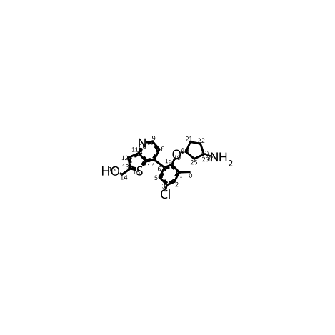 Cc1cc(Cl)cc(-c2ccnc3cc(CO)sc23)c1O[C@@H]1CC[C@@H](N)C1